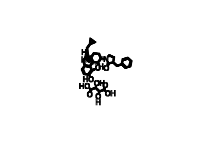 O=C(O)C(O)C(O)C(=O)O.O=C1C(Cc2ccccc2)CCN1[C@@H]1CC[C@@]2(O)[C@H]3Cc4ccc(O)c5c4[C@@]2(CCN3CC2CC2)[C@H]1O5